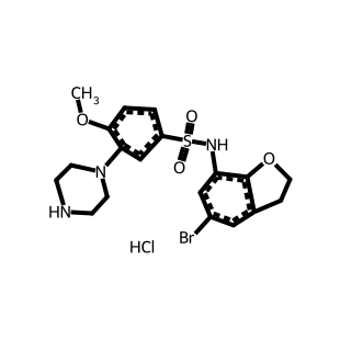 COc1ccc(S(=O)(=O)Nc2cc(Br)cc3c2OCC3)cc1N1CCNCC1.Cl